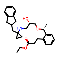 CCOC(=O)CCc1ccccc1[C@@H](C)OC[C@@H](O)CNC1(CC2Cc3ccccc3C2)CC1